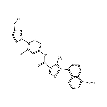 COc1nccc2c(-n3ncc(C(=O)Nc4cnc(-n5ncc(CO)n5)c(Cl)c4)c3C(F)(F)F)cccc12